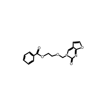 O=C(OCCOCn1cc2ccoc2nc1=O)c1ccccc1